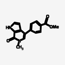 COC(=O)c1ccc(-c2cn(C)c(=O)c3[nH]ccc23)cc1